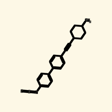 CC1CCC(C#Cc2ccc(-c3ccc(N=C=S)cc3)cc2)CC1